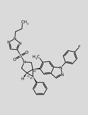 CCCn1ncc(S(=O)(=O)N2C[C@H]3[C@H](c4ccccc4)[C@@]3(c3cc4cnn(-c5ccc(F)cc5)c4cc3C)C2)n1